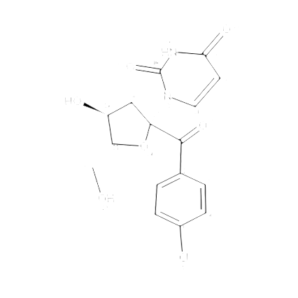 O=C(c1ccc(Cl)cc1)[C@]1(n2ccc(=O)[nH]c2=O)C[C@H](O)[C@@H](CO)O1